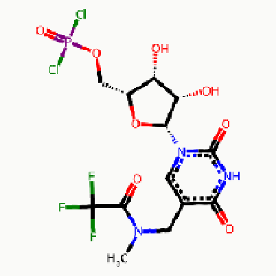 CN(Cc1cn([C@@H]2O[C@H](COP(=O)(Cl)Cl)[C@H](O)[C@@H]2O)c(=O)[nH]c1=O)C(=O)C(F)(F)F